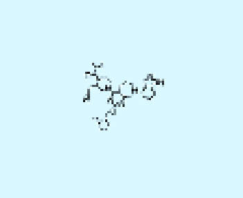 C=C(F)C(=O)N1CCN(c2nc(OCC3CCCN3C)nc3c2CCCN(c2cccc4[nH]ncc24)C3)CC1CC#N